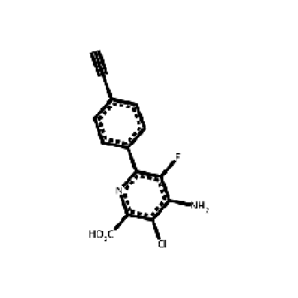 C#Cc1ccc(-c2nc(C(=O)O)c(Cl)c(N)c2F)cc1